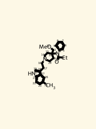 CCC(=O)N(c1ccccc1)C1(COC)CCN(CCc2c[nH]c3ccc(C)cc23)CC1